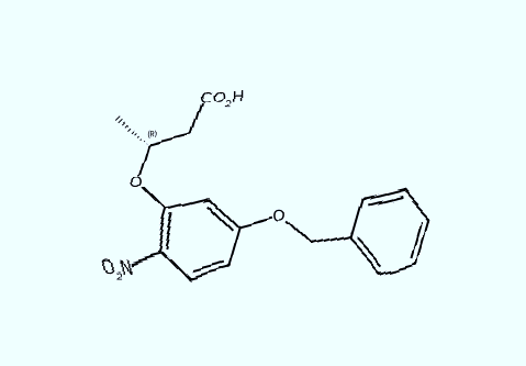 C[C@H](CC(=O)O)Oc1cc(OCc2ccccc2)ccc1[N+](=O)[O-]